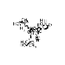 CC(C)(CO)C(=O)SCCOP(=O)(OCCSC(=O)C(C)(C)CO)OC[C@@]1(CN=[N+]=[N-])O[C@@H](N2C=CC(=O)NC2O)[C@H](F)[C@@H]1O